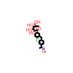 CON=C(C)c1ccc(Cc2cc([C@]34OC[C@](CO)(O3)[C@@H](O)[C@H](O)[C@H]4O)ccc2Cl)cc1